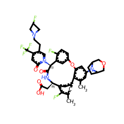 Cc1cc2cc(c1F)[C@@H](CC(=O)O)NC(=O)[C@@H](n1cc(CCN3CC(F)C3)c(C(F)(F)F)cc1=O)c1cc(ccc1F)Oc1cc(N3C4CCC3COC4)cc(C)c1-2